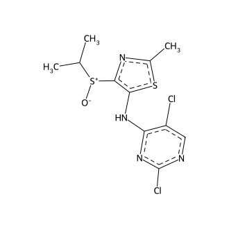 Cc1nc([S+]([O-])C(C)C)c(Nc2nc(Cl)ncc2Cl)s1